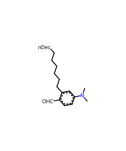 CCCCCCCCCCCCCCCCc1cc(N(C)C)ccc1C=O